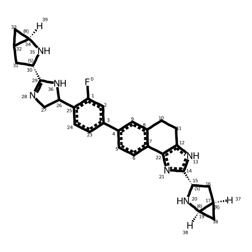 Fc1cc(-c2ccc3c(c2)CCc2[nH]c([C@@H]4C[C@H]5C[C@H]5N4)nc2-3)ccc1C1CN=C([C@@H]2CC3C[C@H]3N2)N1